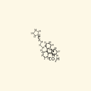 O=C(O)c1ccc(CCCCCCC2CCCC2)c(-c2ccccc2)c1-c1ncccn1